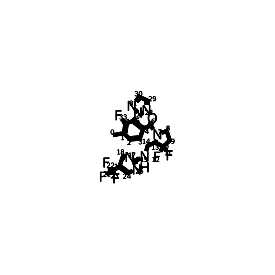 Cc1ccc(C(=O)N2CCC(F)(F)C2CNc2ncc(C(F)(F)F)cn2)c(-n2nccn2)c1F